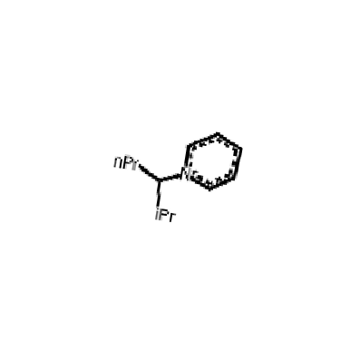 CCCC(C(C)C)[n+]1ccccc1